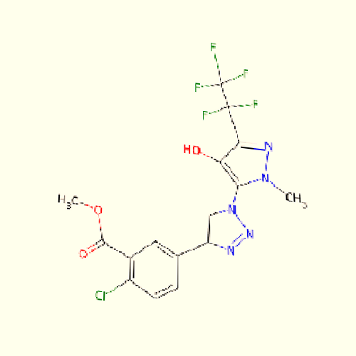 COC(=O)c1cc(C2CN(c3c(O)c(C(F)(F)C(F)(F)F)nn3C)N=N2)ccc1Cl